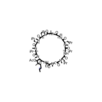 C/C=C/C[C@@H](C)[C@@H](OC(C)=O)[C@H]1C(=O)N[C@@H](CC)C(=O)N(C)CC(=O)N(C)[C@H](CC(C)C)C(=O)N[C@@H](C(C)C)C(=O)N(C)[C@@H](CC(C)C)C(=O)N[C@@H](C)C(=O)N[C@H](C)C(=O)N(C)[C@H](CC(C)C)C(=O)N(C)[C@H](CC(C)C)C(=O)N(C)[C@@H](C(C)C)C(=O)N1C